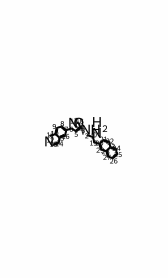 NC(CNc1cc(-c2ccc3cnccc3c2)no1)Cc1ccc2ccccc2c1